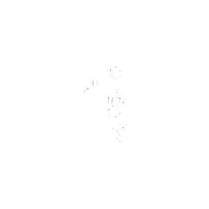 COC(=O)N1c2ccc3c(nc([C@H](C)Cc4ccccc4)n3[C@H]3CC[C@H](C(=O)O)CC3)c2CC[C@@H]1C